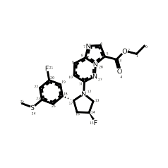 CCOC(=O)c1cnc2ccc(N3C[C@@H](F)C[C@@H]3c3cc(F)cc(SC)c3)nn12